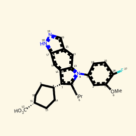 COc1cc(-n2c(C(C)C)c([C@H]3CC[C@@H](C(=O)O)CC3)c3cc4[nH]ncc4cc32)ccc1F